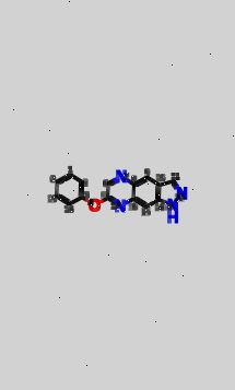 c1ccc(Oc2cnc3cc4cn[nH]c4cc3n2)cc1